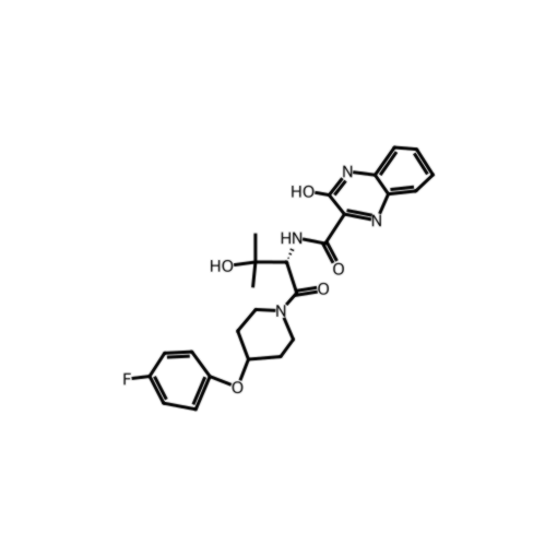 CC(C)(O)[C@H](NC(=O)c1nc2ccccc2nc1O)C(=O)N1CCC(Oc2ccc(F)cc2)CC1